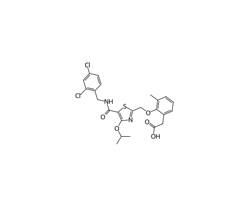 Cc1cccc(CC(=O)O)c1OCc1nc(OC(C)C)c(C(=O)NCc2ccc(Cl)cc2Cl)s1